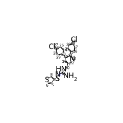 N/C(=N\Sc1ccsc1)NCc1cnc(-c2ccc(Cl)cc2)c(-c2ccc(Cl)cc2)c1